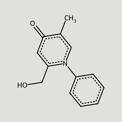 Cc1cn(-c2ccccc2)c(CO)cc1=O